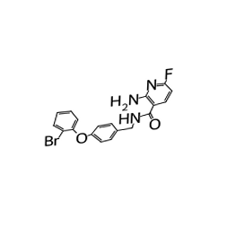 Nc1nc(F)ccc1C(=O)NCc1ccc(Oc2ccccc2Br)cc1